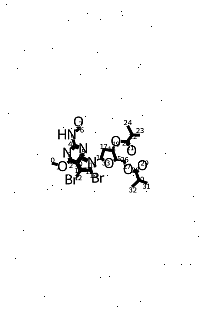 COc1nc(NC=O)nc2c1c(Br)c(Br)n2[C@@H]1C[C@H](OC(=O)C(C)C)[C@@H](COC(=O)C(C)C)O1